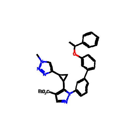 CCOC(=O)c1cnn(-c2cccc(-c3cccc(OC(C)c4ccccc4)c3)c2)c1C1CC1c1cn(C)nn1